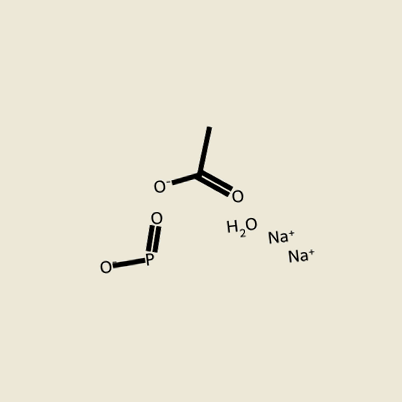 CC(=O)[O-].O.O=P[O-].[Na+].[Na+]